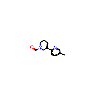 Cc1ccc(C2=CCCN(C=O)C2)nc1